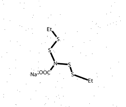 CCSSN(SSCC)C(=O)[O-].[Na+]